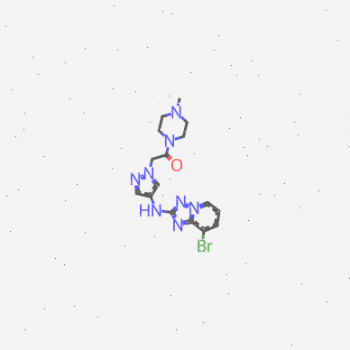 CN1CCN(C(=O)Cn2cc(Nc3nc4c(Br)cccn4n3)cn2)CC1